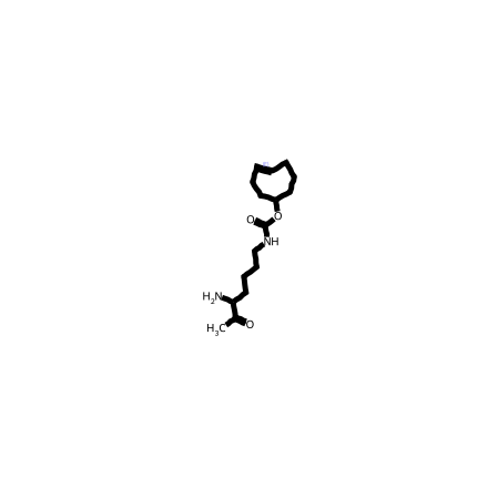 CC(=O)C(N)CCCCNC(=O)OC1CC/C=C/CCC1